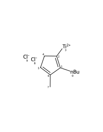 CCCCC1=[C]([Ti+2])CC=C1C.[Cl-].[Cl-]